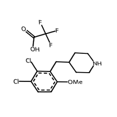 COc1ccc(Cl)c(Cl)c1CC1CCNCC1.O=C(O)C(F)(F)F